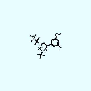 COc1cc(F)cc(/C(COC(C)(C)[Si](C)(C)C)=N/[S@+]([O-])C(C)(C)C)c1